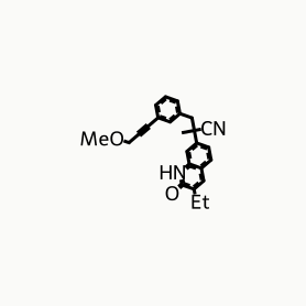 CCc1cc2ccc(C(C)(C#N)Cc3cccc(C#CCOC)c3)cc2[nH]c1=O